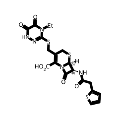 CCn1c(SCC2=C(C(=O)O)N3C(=O)[C@@H](NC(=O)Cc4cccs4)[C@@H]3SC2)n[nH]c(=O)c1=O